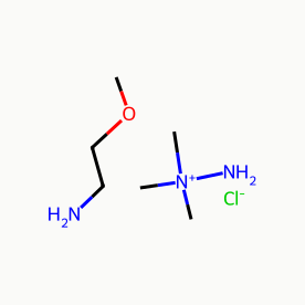 COCCN.C[N+](C)(C)N.[Cl-]